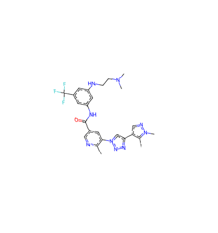 Cc1ncc(C(=O)Nc2cc(NCCN(C)C)cc(C(F)(F)F)c2)cc1-n1cc(-c2cnn(C)c2C)nn1